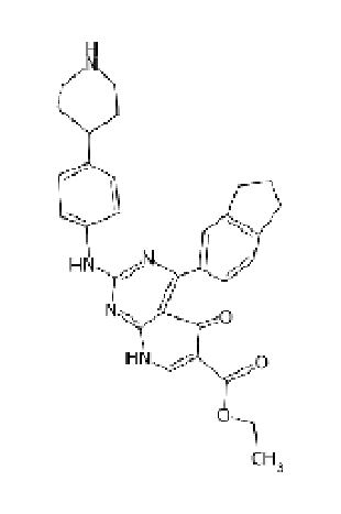 CCOC(=O)c1c[nH]c2nc(Nc3ccc(C4CCNCC4)cc3)nc(-c3ccc4c(c3)CCC4)c2c1=O